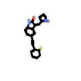 O=C1Nc2ccc(C#CC3=CC=CCC3=S)cc2/C1=C/c1ccc[nH]1